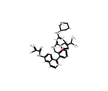 C=C(F)C(=O)Nc1ccc2c(-c3ccccc3CNc3nc(N[C@@H]4CCCNC4)nc4c(C(C)C)cnn34)nccc2c1